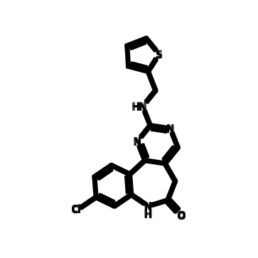 O=C1Cc2cnc(NCc3cccs3)nc2-c2ccc(Cl)cc2N1